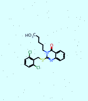 O=C(O)CCCCn1c(SCc2c(Cl)cccc2Cl)nc2ccccc2c1=O